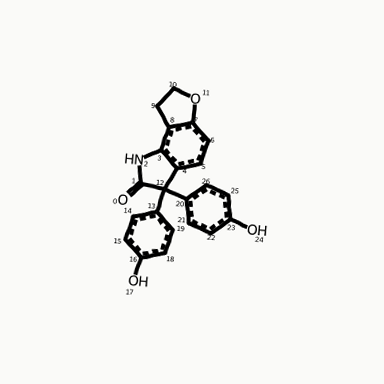 O=C1Nc2c(ccc3c2CCO3)C1(c1ccc(O)cc1)c1ccc(O)cc1